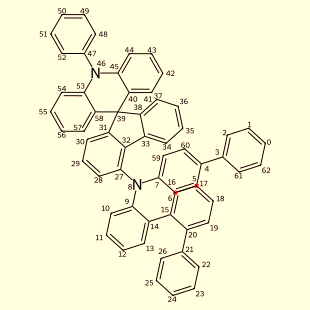 c1ccc(-c2ccc(N(c3ccccc3-c3ccccc3-c3ccccc3)c3cccc4c3-c3ccccc3C43c4ccccc4N(c4ccccc4)c4ccccc43)cc2)cc1